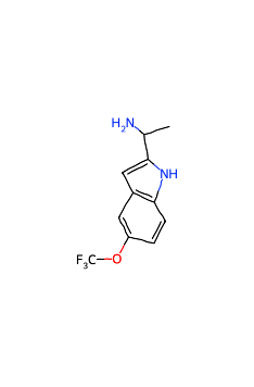 CC(N)c1cc2cc(OC(F)(F)F)ccc2[nH]1